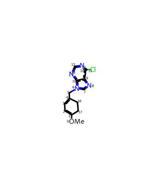 COC1=CC=C(Cn2cnc3c(Cl)ncnc32)CC1